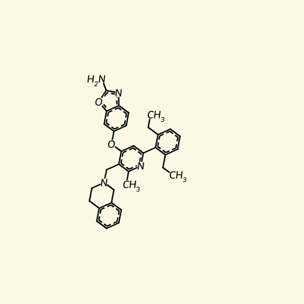 CCc1cccc(CC)c1-c1cc(Oc2ccc3nc(N)oc3c2)c(CN2CCc3ccccc3C2)c(C)n1